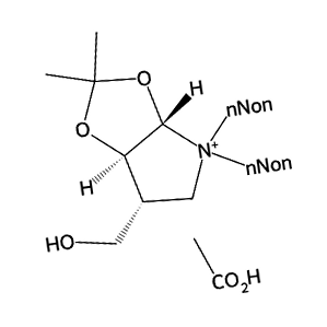 CC(=O)O.CCCCCCCCC[N+]1(CCCCCCCCC)C[C@H](CO)[C@H]2OC(C)(C)O[C@@H]21